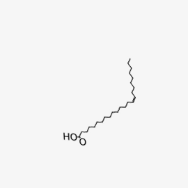 CCCCCCCC/C=C\CCCCCCCCCCCCCC(=O)O